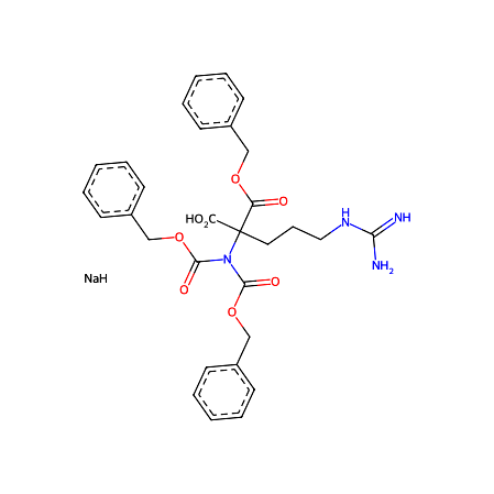 N=C(N)NCCCC(C(=O)O)(C(=O)OCc1ccccc1)N(C(=O)OCc1ccccc1)C(=O)OCc1ccccc1.[NaH]